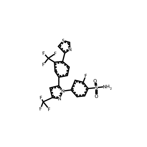 NS(=O)(=O)c1ccc(-n2nc(C(F)(F)F)cc2-c2ccc(-c3cscn3)c(C(F)(F)F)c2)cc1F